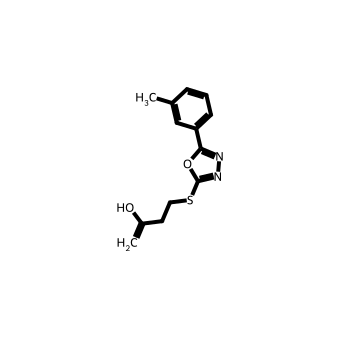 C=C(O)CCSc1nnc(-c2cccc(C)c2)o1